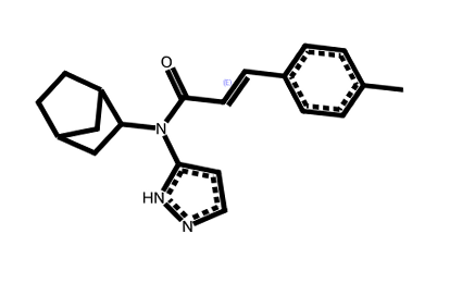 Cc1ccc(/C=C/C(=O)N(c2ccn[nH]2)C2CC3CCC2C3)cc1